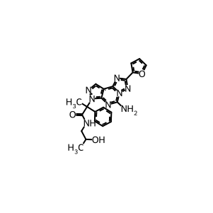 CC(O)CNC(=O)C(C)(c1ccccc1)n1ncc2c1nc(N)n1nc(-c3ccco3)nc21